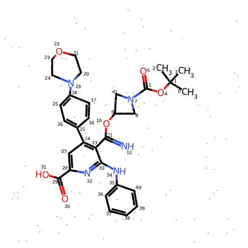 CC(C)(C)OC(=O)N1CC(OC(=N)c2c(-c3ccc(N4CCOCC4)cc3)cc(C(=O)O)nc2Nc2ccccc2)C1